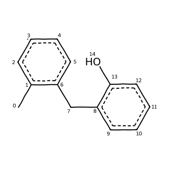 Cc1c[c]ccc1Cc1ccccc1O